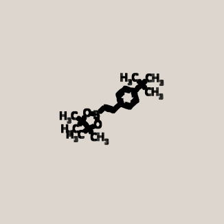 CC(C)(C)c1ccc(C=CB2OC(C)(C)C(C)(C)O2)cc1